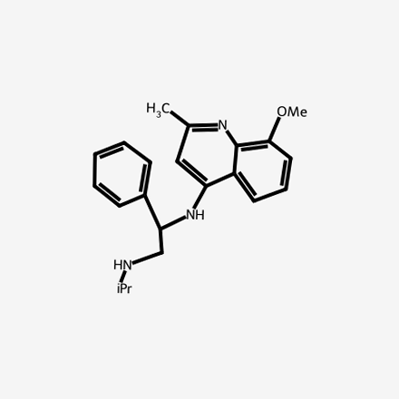 COc1cccc2c(NC(CNC(C)C)c3ccccc3)cc(C)nc12